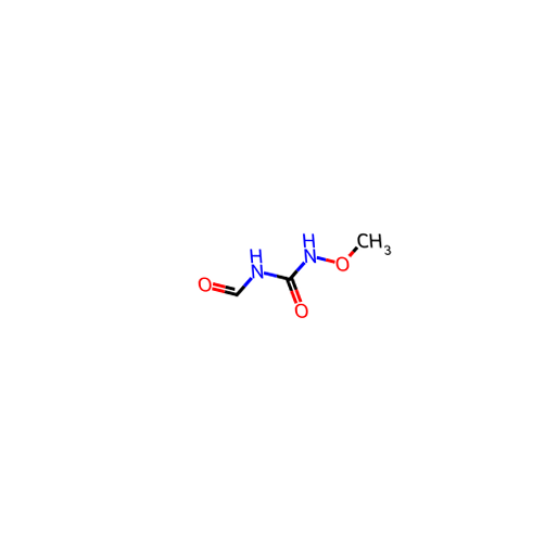 CONC(=O)NC=O